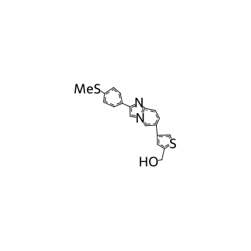 CSc1ccc(-c2cn3cc(-c4csc(CO)c4)ccc3n2)cc1